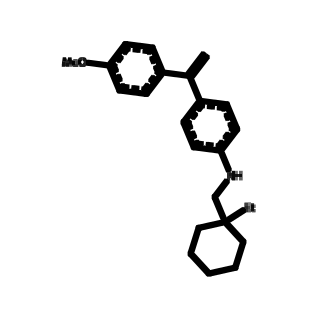 C=C(c1ccc(NCC2(CC)CCCCC2)cc1)c1ccc(OC)cc1